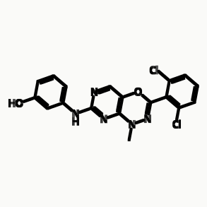 CN1N=C(c2c(Cl)cccc2Cl)Oc2cnc(Nc3cccc(O)c3)nc21